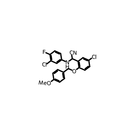 COc1ccc(COc2ccc(Cl)cc2C(C#N)Nc2ccc(F)c(Cl)c2)cc1